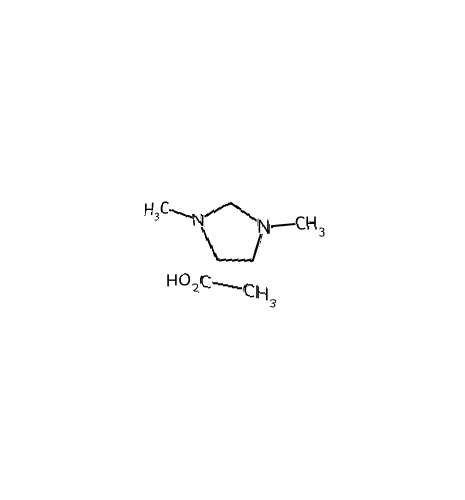 CC(=O)O.CN1CCN(C)C1